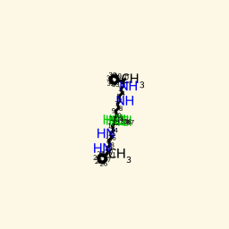 CC(NCCCNCCCCCCCCNCCCNC(C)c1ccccc1)c1ccccc1.Cl.Cl.Cl.Cl